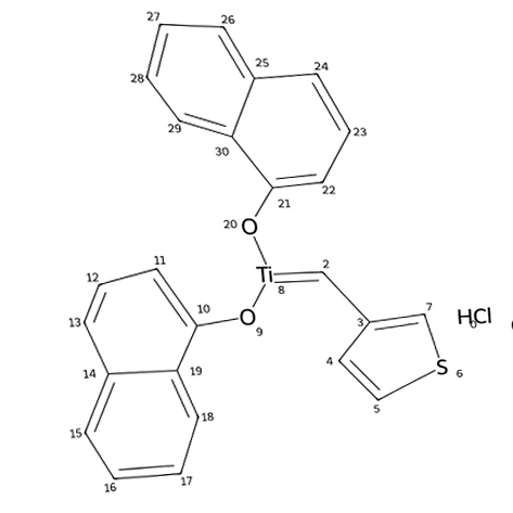 Cl.Cl.[CH](c1ccsc1)=[Ti]([O]c1cccc2ccccc12)[O]c1cccc2ccccc12